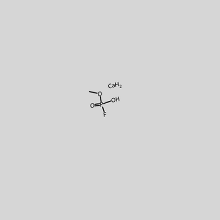 COP(=O)(O)F.[CaH2]